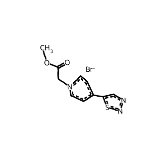 COC(=O)C[n+]1ccc(-c2cnns2)cc1.[Br-]